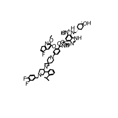 CCOc1nc2c(cc1Oc1cc(N3CCC4(CC3)CN(C3CCN(Cc5ccc(F)c(F)c5)CC3c3ccccc3C(C)C)C4)ccc1C(=O)NS(=O)(=O)c1cc([NH+](C)[O-])c(NC[C@H]3CC[C@](C)(O)CC3)c3[nH]cnc13)C(F)=CC2